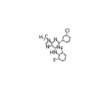 Cn1cnc2c(Nc3c(F)cccc3F)nc(-c3cccc(Cl)c3)nc21